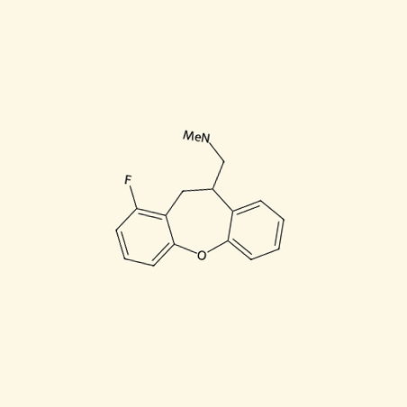 CNCC1Cc2c(F)cccc2Oc2ccccc21